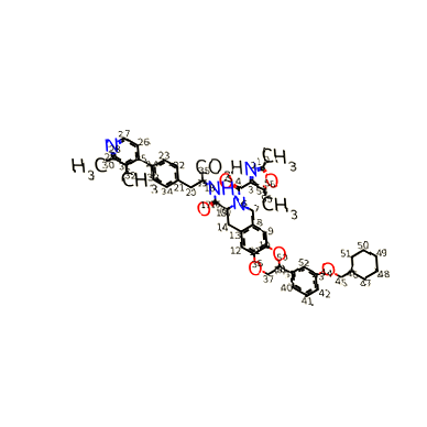 Cc1nc(C(=O)N2Cc3cc4c(cc3C[C@H]2C(=O)NC(Cc2ccc(-c3ccnc(C)c3C)cc2)C(=O)O)OC[C@H](c2cccc(OCC3CCCCC3)c2)O4)c(C)o1